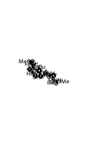 CC[C@H](C)[C@H](NC(=O)OC)C(=O)N1CCC[C@H]1C(=O)Nc1nc([C@H]2CC[C@H](c3csc(NC(=O)[C@@H]4CCCN4C(=O)[C@@H](NC(=O)OC)C(C)(C)CC)n3)N2c2ccc(C(C)(C)C)cc2)cs1